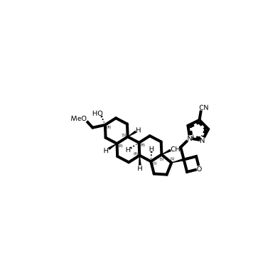 COC[C@@]1(O)CC[C@H]2[C@H](CC[C@@H]3[C@@H]2CC[C@]2(C)[C@@H](C4(Cn5cc(C#N)cn5)COC4)CC[C@@H]32)C1